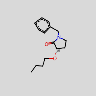 CCCCO[C@H]1CCN(Cc2ccccc2)C1=O